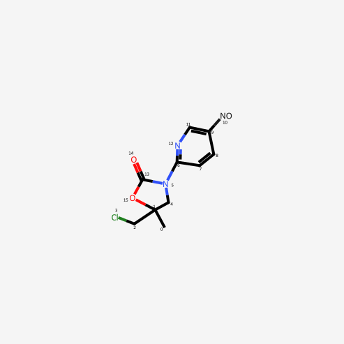 CC1(CCl)CN(c2ccc(N=O)cn2)C(=O)O1